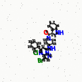 O=C(c1c[nH]c2ccccc12)N1CCC(Nc2cc(-c3ccccc3Cl)nc3c(Br)cnn23)CC1